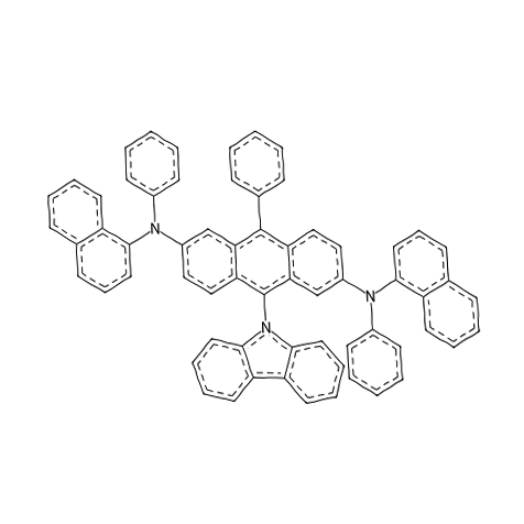 c1ccc(-c2c3cc(N(c4ccccc4)c4cccc5ccccc45)ccc3c(-n3c4ccccc4c4ccccc43)c3cc(N(c4ccccc4)c4cccc5ccccc45)ccc23)cc1